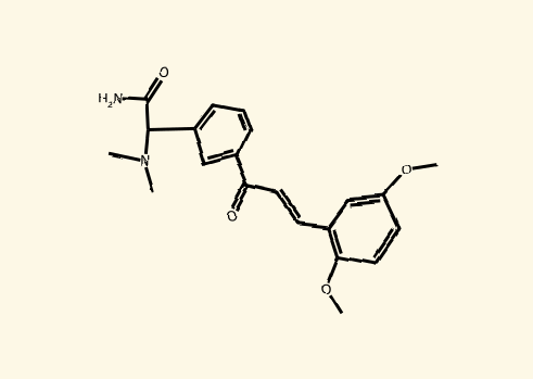 COc1ccc(OC)c(C=CC(=O)c2cccc(C(C(N)=O)N(C)C)c2)c1